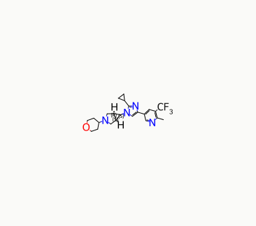 Cc1ncc(-c2cn([C@H]3[C@@H]4CN(C5CCOCC5)C[C@@H]43)c(C3CC3)n2)cc1C(F)(F)F